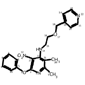 Cc1nc(Oc2ccccc2)c([N+](=O)[O-])c(NCCOCc2ccncc2)c1C